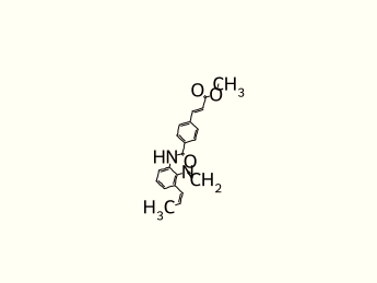 C=Nc1c(/C=C\C)cccc1NC(=O)c1ccc(/C=C/C(=O)OC)cc1